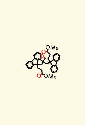 COC(=O)CCC1(CC2(CC3(CCC(=O)OC)c4ccccc4-c4ccccc43)COC2)c2ccccc2-c2ccccc21